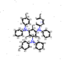 C=C(C)/C=C\C(=C)N(c1ccccc1)c1c(C)c(N(c2ccccc2)c2ccc(C)cc2)c(C)c(N(c2ccccc2)c2ccc(C)cc2)c1C